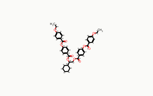 CCOc1ccc(C(=O)Oc2ccc(C(=O)OCC(OC(=O)c3ccc(OC(=O)c4ccc(OCC)cc4)cc3)C3CCCCC3)cc2)cc1